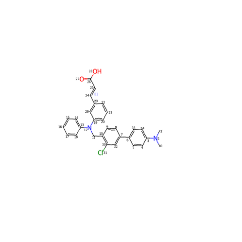 CN(C)c1ccc(-c2ccc(CN(c3ccccc3)c3cccc(/C=C/C(=O)O)c3)c(Cl)c2)cc1